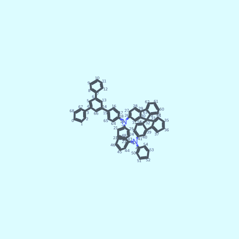 c1ccc(-c2cc(-c3ccccc3)cc(-c3ccc(N(c4ccccc4)c4ccc5c(c4)C4(c6ccccc6-c6cc(N(c7ccccc7)c7ccccc7)ccc64)c4ccccc4-5)cc3)c2)cc1